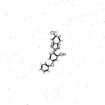 Oc1cc(Oc2ccccc2)ccc1-n1nc2ccc(Cl)cc2n1